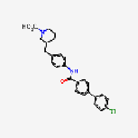 O=C(Nc1ccc(CC2CCCN(C(=O)O)C2)cc1)c1ccc(-c2ccc(Cl)cc2)cc1